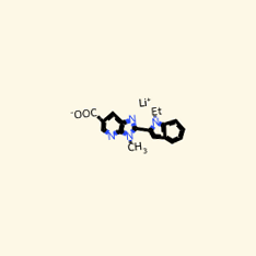 CCn1c(-c2nc3cc(C(=O)[O-])cnc3n2C)cc2ccccc21.[Li+]